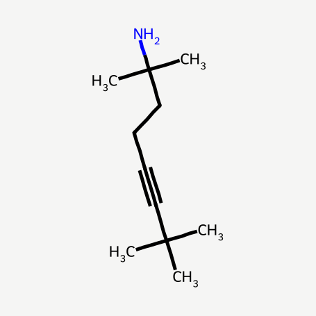 CC(C)(C)C#CCCC(C)(C)N